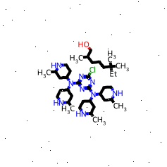 CC1CC(N(c2nc(Cl)nc(N(C3CCNC(C)C3)C3CCNC(C)C3)n2)C2CCNC(C)C2)CCN1.CCC(C)(C)CCCC(C)CO